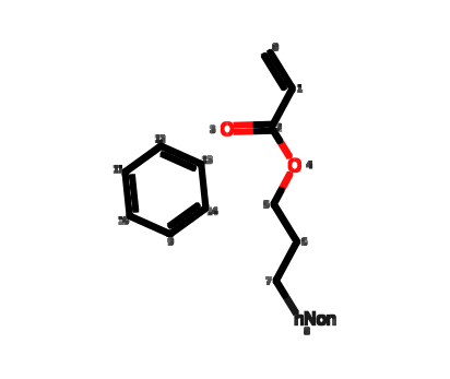 C=CC(=O)OCCCCCCCCCCCC.c1ccccc1